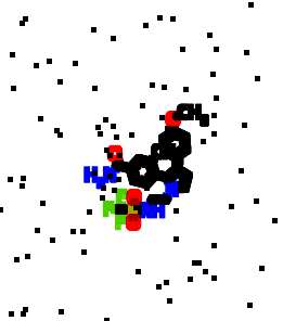 COc1ccc(-c2ccn(CCNS(=O)(=O)C(F)(F)F)c2-c2ccc(C(N)=O)cc2C)cc1